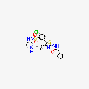 Cc1nc(NC(=O)CC2CCCC2)sc1-c1ccc(Cl)c(S(=O)(=O)NC2CCCNC2)c1